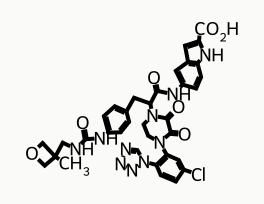 CC1(CNC(=O)Nc2ccc(CC(C(=O)Nc3ccc4[nH]c(C(=O)O)cc4c3)N3CCN(c4cc(Cl)ccc4-n4cnnn4)C(=O)C3=O)cc2)COC1